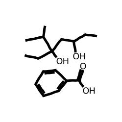 CCC(O)CC(O)(CC)C(C)C.O=C(O)c1ccccc1